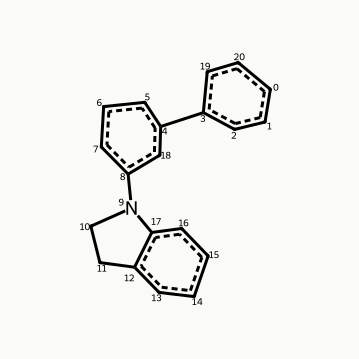 c1ccc(-c2cccc(N3CCc4ccccc43)c2)cc1